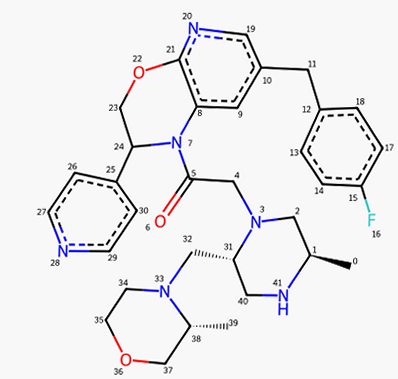 C[C@@H]1CN(CC(=O)N2c3cc(Cc4ccc(F)cc4)cnc3OCC2c2ccncc2)[C@@H](CN2CCOC[C@H]2C)CN1